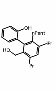 CCCCCc1c(C(C)C)cc(C(C)C)c(CO)c1-c1ccccc1O